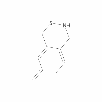 C=C/C=C1/CSNC/C1=C/C